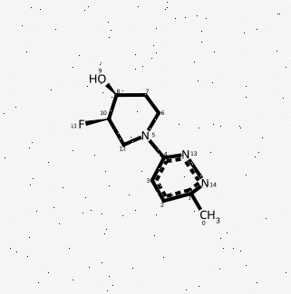 Cc1ccc(N2CC[C@H](O)[C@H](F)C2)nn1